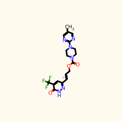 Cc1cnc(N2CCN(C(=O)OC/C=C/c3cc(C(F)(F)F)c(=O)[nH]n3)CC2)nc1